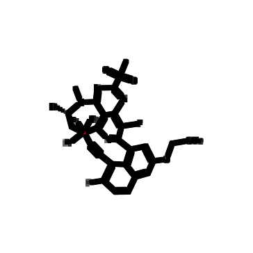 CC[C@H]1COc2nc(-c3cc(OCOC)cc4ccc(F)c(C#C[Si](C(C)C)(C(C)C)C(C)C)c34)c(F)c3nc(S(C)(=O)=O)nc(c23)N1C